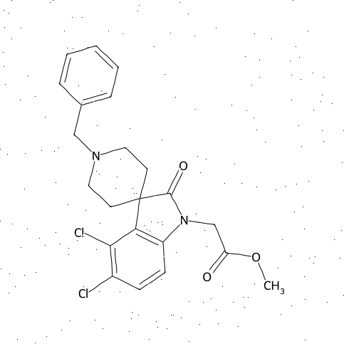 COC(=O)CN1C(=O)C2(CCN(Cc3ccccc3)CC2)c2c1ccc(Cl)c2Cl